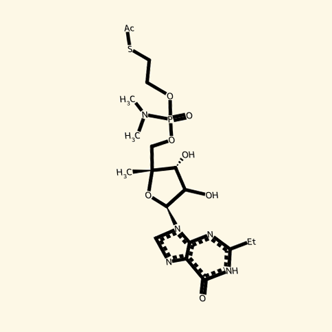 CCc1nc2c(ncn2[C@H]2O[C@](C)(COP(=O)(OCCSC(C)=O)N(C)C)[C@H](O)C2O)c(=O)[nH]1